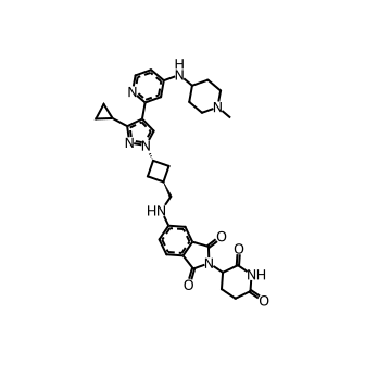 CN1CCC(Nc2ccnc(-c3cn([C@H]4C[C@H](CNc5ccc6c(c5)C(=O)N(C5CCC(=O)NC5=O)C6=O)C4)nc3C3CC3)c2)CC1